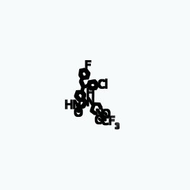 O=c1cc(NC2CCN(S(=O)(=O)C(F)(F)F)CC2)c2cc(/C(=C/c3ccc(F)cc3)c3ccc(Cl)cc3)ccc2[nH]1